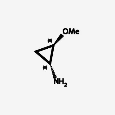 CO[C@@H]1C[C@H]1N